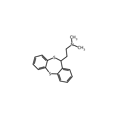 CN(C)CCC1Sc2ccccc2Sc2ccccc21